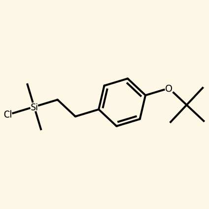 CC(C)(C)Oc1ccc(CC[Si](C)(C)Cl)cc1